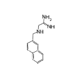 N=C(N)CNCc1ccc2ccccc2c1